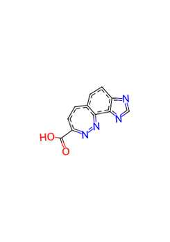 O=C(O)c1ccc2ccc3ncnc3c2nn1